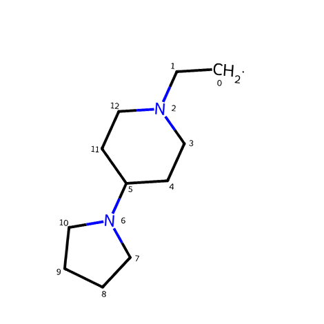 [CH2]CN1CCC(N2CCCC2)CC1